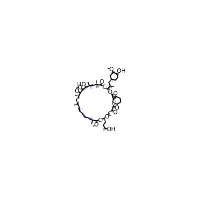 CO[C@H]1C[C@H](CC[C@@H](C)O)OCC(=O)C(=O)N2CCCC[C@H]2C(=O)O[C@H]([C@H](C)C[C@@H]2CC[C@@H](O)[C@H](OC)C2)CC(=O)[C@H](C)/C=C(\C)[C@@H](O)[C@@H](OC)C(=O)[C@H](C)C[C@H](C)/C=C/C=C/C=C/1C